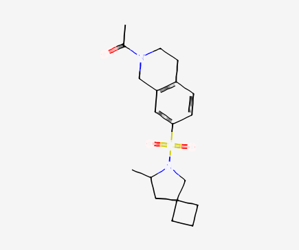 CC(=O)N1CCc2ccc(S(=O)(=O)N3CC4(CCC4)CC3C)cc2C1